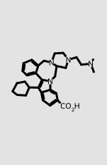 CN(C)CCN1CCN2Cc3ccccc3-c3c(C4CCCCC4)c4ccc(C(=O)O)cc4n3CC2C1